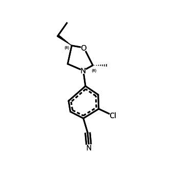 CC[C@@H]1CN(c2ccc(C#N)c(Cl)c2)[C@@H](C)O1